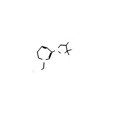 CCN1C=C(B2CC(C)C(C)(C)O2)C=CCC1